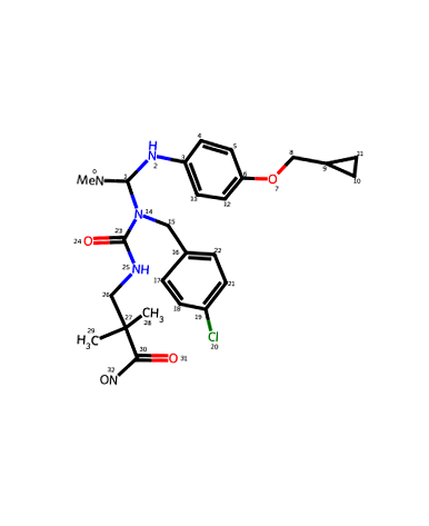 CNC(Nc1ccc(OCC2CC2)cc1)N(Cc1ccc(Cl)cc1)C(=O)NCC(C)(C)C(=O)N=O